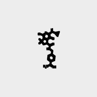 CC1(C)CC(C(=O)NCc2ccc(C(=N)N)cc2)n2c1c(Cl)nc(NC1CC1)c2=O